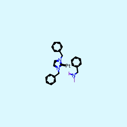 IN(I)Cc1ccccc1.[Pt]=[c]1n(Cc2ccccc2)ccn1Cc1ccccc1